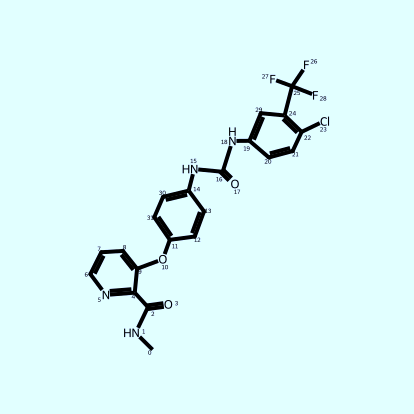 CNC(=O)c1ncccc1Oc1ccc(NC(=O)Nc2ccc(Cl)c(C(F)(F)F)c2)cc1